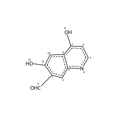 O=Cc1cc2nccc(O)c2cc1O